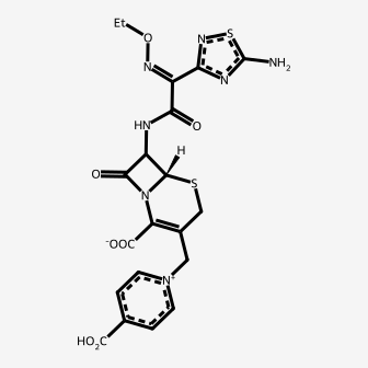 CCON=C(C(=O)NC1C(=O)N2C(C(=O)[O-])=C(C[n+]3ccc(C(=O)O)cc3)CS[C@@H]12)c1nsc(N)n1